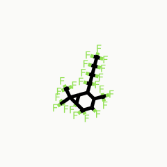 FC1C(C(F)(F)F)C(C(F)(F)C(F)(F)C(F)(F)C(F)(F)F)C2C(F)(C1(F)F)C2(C(F)(F)F)C(F)(F)F